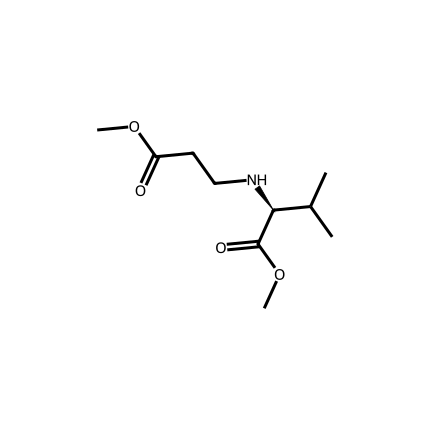 COC(=O)CCN[C@H](C(=O)OC)C(C)C